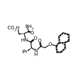 BC(=O)[C@H](CC(=O)O)NC(=O)[C@@H](NC(=O)COc1cccc2ccccc12)C(C)C